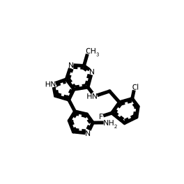 Cc1nc(NCc2c(F)cccc2Cl)c2c(-c3ccnc(N)c3)c[nH]c2n1